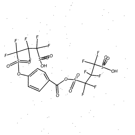 O=C(OS(=O)(=O)C(F)(F)C(F)(F)C(F)(F)S(=O)(=O)O)c1ccc(OS(=O)(=O)C(F)(F)C(F)(F)C(F)(F)S(=O)(=O)O)cc1